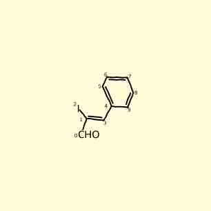 O=CC(I)=Cc1ccccc1